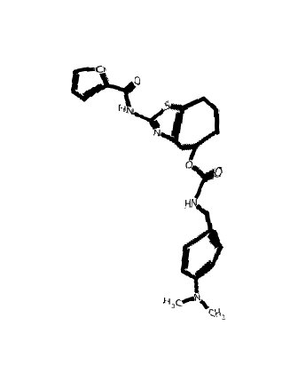 CN(C)c1ccc(CNC(=O)OC2CCCc3sc(NC(=O)c4ccco4)nc32)cc1